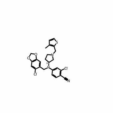 Cc1ccsc1CN1CC[C@H](N(Cc2cc3c(cc2Cl)OCO3)c2ccc(C#N)c(Cl)c2)C1